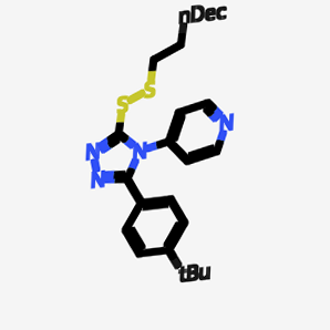 CCCCCCCCCCCCSSc1nnc(-c2ccc(C(C)(C)C)cc2)n1-c1ccncc1